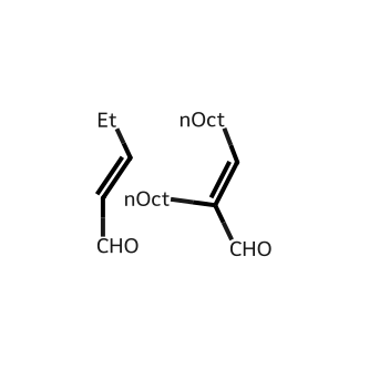 CC/C=C/C=O.CCCCCCCC/C=C(/C=O)CCCCCCCC